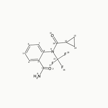 NC(=O)c1ccccc1N(C(=O)C1CC1)C(F)(F)F